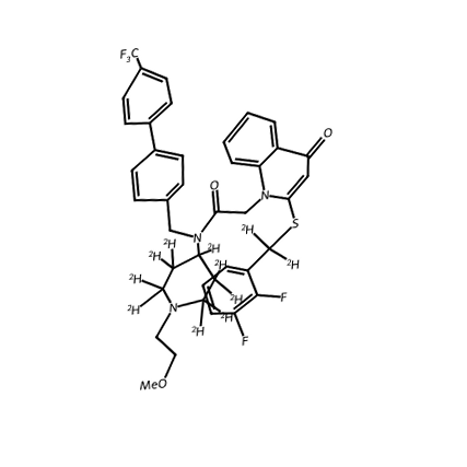 [2H]C([2H])(Sc1cc(=O)c2ccccc2n1CC(=O)N(Cc1ccc(-c2ccc(C(F)(F)F)cc2)cc1)C1([2H])C([2H])([2H])C([2H])([2H])N(CCOC)C([2H])([2H])C1([2H])[2H])c1cccc(F)c1F